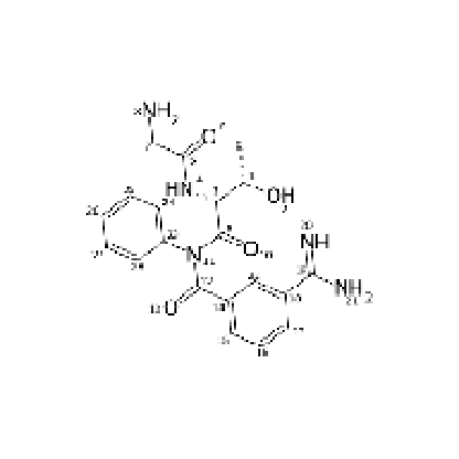 C[C@H](O)[C@@H](NC(=O)CN)C(=O)N(C(=O)c1cccc(C(=N)N)c1)c1ccccc1